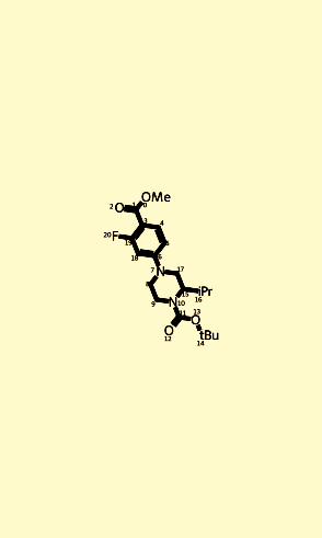 COC(=O)c1ccc(N2CCN(C(=O)OC(C)(C)C)C(C(C)C)C2)cc1F